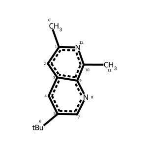 Cc1cc2cc(C(C)(C)C)cnc2c(C)n1